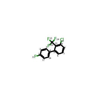 Fc1ccc(-c2cccc(Cl)c2C(F)(F)F)cc1